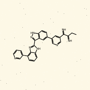 CCC(=N)C(=N)c1cncc(-c2ccc3[nH]nc(-c4nc5c(-c6cccnc6)cccc5[nH]4)c3c2)c1